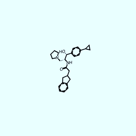 O=C(CC1Cc2ccccc2C1)N[C@H](CN1CCCC1)[C@H](O)c1ccc(C2CC2)cc1